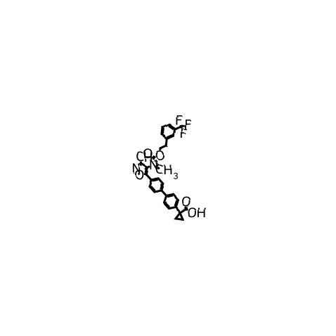 Cc1noc(-c2ccc(-c3ccc(C4(C(=O)O)CC4)cc3)cc2)c1N(C)C(=O)OCCc1cccc(C(F)(F)F)c1